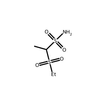 CCS(=O)(=O)C(C)S(N)(=O)=O